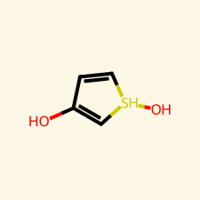 OC1=C[SH](O)C=C1